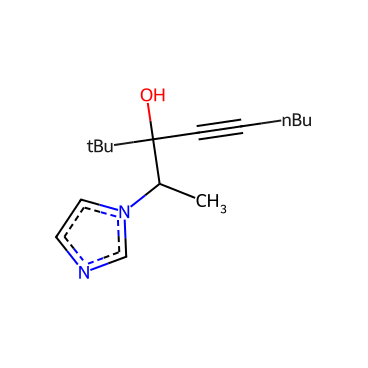 CCCCC#CC(O)(C(C)n1ccnc1)C(C)(C)C